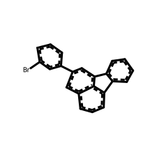 Brc1cccc(-c2cc3c4c(cccc4c2)-c2ccccc2-3)c1